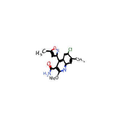 COc1nc2cc(C)c(Cl)cc2c(-c2cc(C)on2)c1C(N)=O